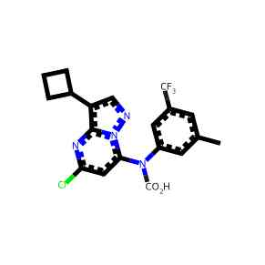 Cc1cc(N(C(=O)O)c2cc(Cl)nc3c(C4CCC4)cnn23)cc(C(F)(F)F)c1